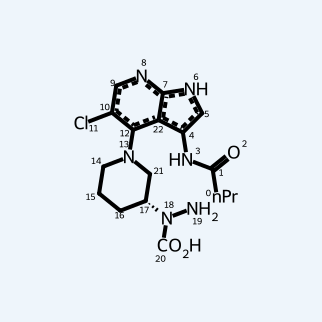 CCCC(=O)Nc1c[nH]c2ncc(Cl)c(N3CCC[C@@H](N(N)C(=O)O)C3)c12